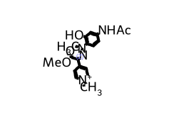 COC(=O)/C(=N\N(C)c1ccc(NC(C)=O)cc1O)c1cc[n+](C)cc1